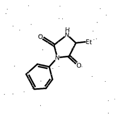 CCC1NC(=O)N(c2ccccc2)C1=O